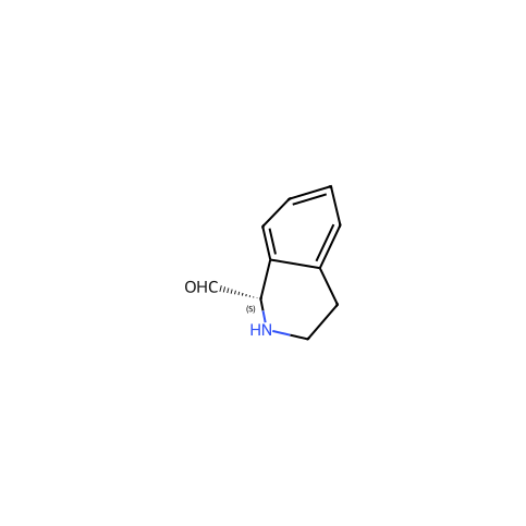 O=C[C@H]1NCCc2ccccc21